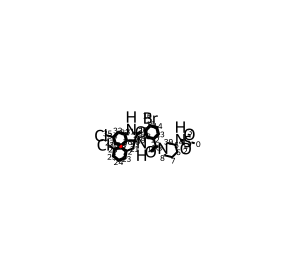 CS(=O)(=O)N[C@H]1CCCN(C(=O)c2ccc(Br)cc2NC2(Cc3cccc(Cl)c3)C(=O)Nc3cc(Cl)ccc32)C1